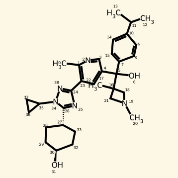 Cc1ncc(C(O)(c2ccc(C(C)C)cc2)C2(C)CN(C)C2)cc1-c1nc([C@H]2CC[C@H](O)CC2)n(C2CC2)n1